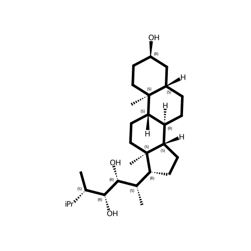 CC(C)[C@H](C)[C@@H](O)[C@H](O)[C@@H](C)[C@H]1CC[C@H]2[C@@H]3CC[C@H]4C[C@H](O)CC[C@]4(C)[C@H]3CC[C@]12C